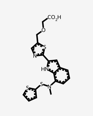 CN(Sc1cccs1)c1cccc2cc(-c3ncc(COCC(=O)O)s3)[nH]c12